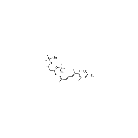 CCC(=CC(C)=CC(C)=CC=CC(C)=CC[C@@H](C[C@H](C)O[Si](C)(C)C(C)(C)C)O[Si](C)(C)C(C)(C)C)C(=O)O